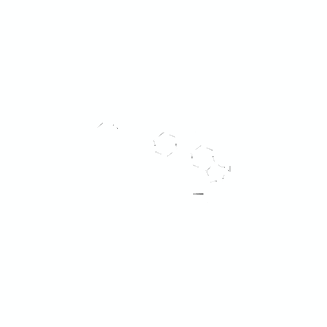 COC(=O)c1c[nH]c2cc(Cl)c(-c3ccc(C4CCN(C(C)=O)CC4)cc3)cc12